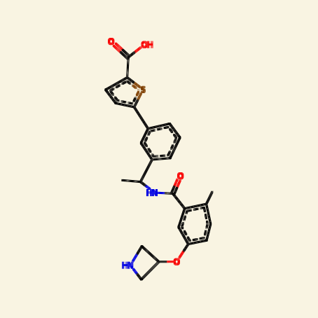 Cc1ccc(OC2CNC2)cc1C(=O)NC(C)c1cccc(-c2ccc(C(=O)O)s2)c1